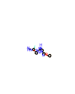 CN(C)CCNc1cc(F)cc(-c2cccc3[nH]c(-c4n[nH]c5ccc(-c6cncc(OCc7ccccc7)c6)nc45)nc23)c1